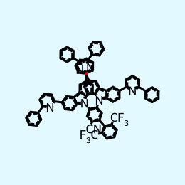 N#Cc1cc(-n2c3ccc(-c4cccc(-c5ccccc5)n4)cc3c3cc(-c4cccc(-c5ccccc5)n4)ccc32)c(-n2c3ccc(-c4cccc(-c5ccccc5)n4)cc3c3cc(-c4cccc(-c5ccccc5)n4)ccc32)cc1-c1c(C(F)(F)F)cccc1C(F)(F)F